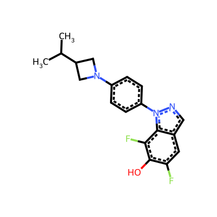 CC(C)C1CN(c2ccc(-n3ncc4cc(F)c(O)c(F)c43)cc2)C1